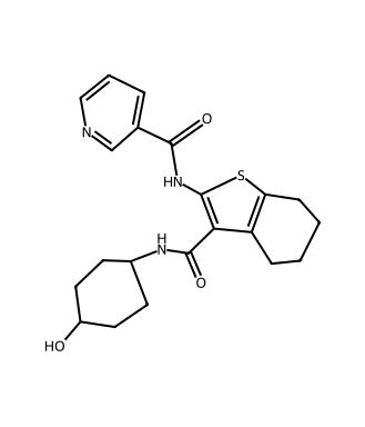 O=C(Nc1sc2c(c1C(=O)NC1CCC(O)CC1)CCCC2)c1cccnc1